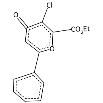 CCOC(=O)c1oc(-c2ccccc2)cc(=O)c1Cl